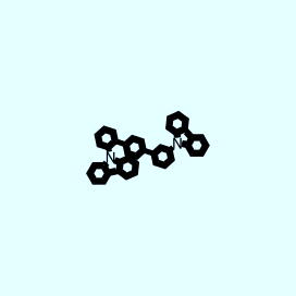 c1cc(-c2ccc(-c3ccccc3-n3c4ccccc4c4ccccc43)cc2)cc(-n2c3ccccc3c3ccccc32)c1